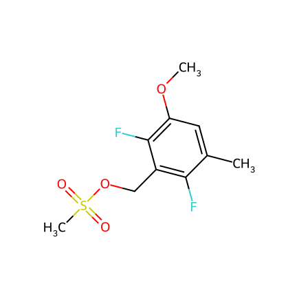 COc1cc(C)c(F)c(COS(C)(=O)=O)c1F